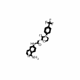 Nc1nccc2cc(NC(=O)C[C@H]3OCCN(c4ccc(C(F)(F)F)cc4)C3=O)ccc12